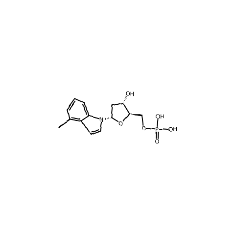 Cc1cccc2c1ccn2[C@@H]1C[C@H](O)[C@@H](COP(=O)(O)O)O1